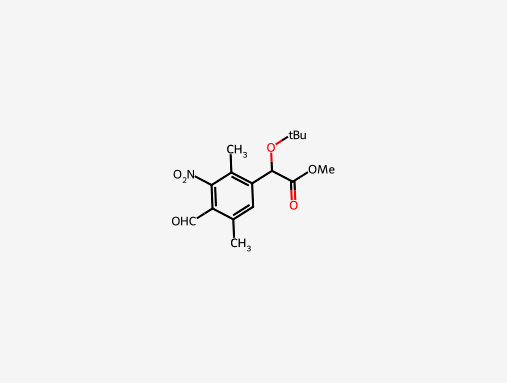 COC(=O)C(OC(C)(C)C)c1cc(C)c(C=O)c([N+](=O)[O-])c1C